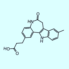 Cc1ccc2[nH]c3c(c2c1)CC(=O)Nc1ccc(CCC(=O)O)cc1-3